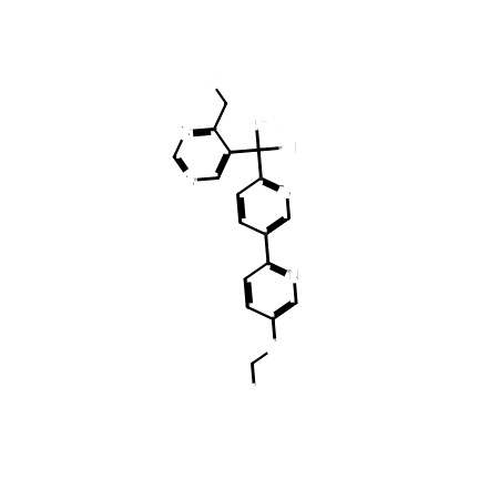 CC(C)(C)C(O)(c1ccc(-c2ccc(OCC(F)(F)F)cn2)cn1)c1cncnc1CO